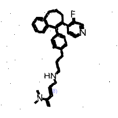 C=C(/C=C/CNCCCc1ccc(C2=C(c3ccncc3F)CCCc3ccccc32)cc1)N(C)C